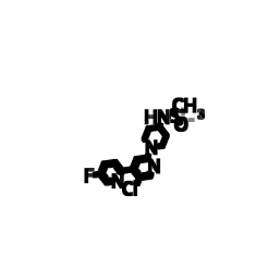 C[S+]([O-])NC1CCN(c2cc(-c3ccc(F)cn3)c(Cl)cn2)CC1